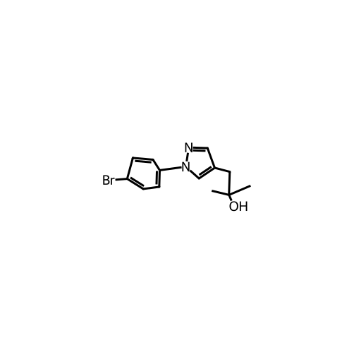 CC(C)(O)Cc1cnn(-c2ccc(Br)cc2)c1